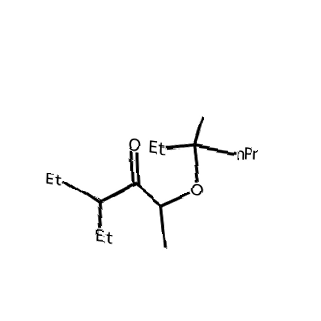 CCCC(C)(CC)OC(C)C(=O)C(CC)CC